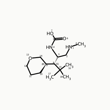 CNCC(NC(=O)O)[C@@H]([C@H]1CCCOC1)C(C)(C)C